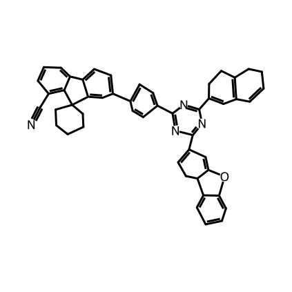 N#Cc1cccc2c1C1(CCCCC1)c1cc(-c3ccc(-c4nc(C5=CCC6C(=C5)Oc5ccccc56)nc(C5=CC6=C(CCC=C6)CC5)n4)cc3)ccc1-2